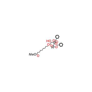 COC(=O)CCCCCCCCO[C@@H]1O[C@@H]2COC(c3ccccc3)O[C@@H]2[C@H](OC(=O)c2ccccc2)[C@H]1O